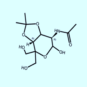 CC(=O)N[C@H]1C(O)OC(CO)(CO)[C@@H]2OC(C)(C)OC12